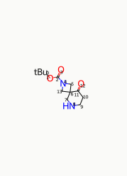 CC(C)(C)OC(=O)N1CC2(CNCCC2=O)C1